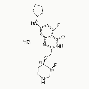 Cl.O=c1[nH]c(CS[C@@H]2CCNC[C@@H]2F)nc2cc(NC3CCCC3)cc(F)c12